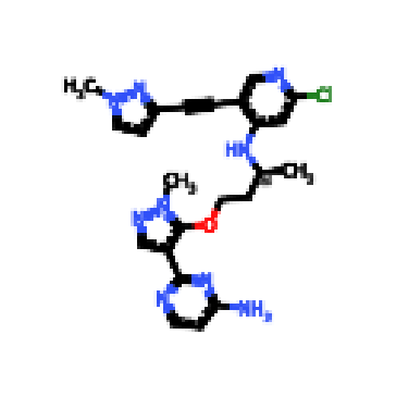 C[C@@H](CCOc1c(-c2nccc(N)n2)cnn1C)Nc1cc(Cl)ncc1C#Cc1ccn(C)n1